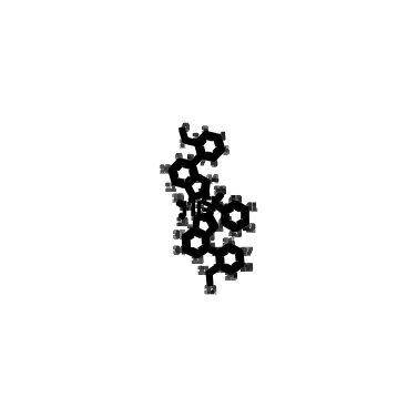 CCc1ccccc1-c1cccc2c1C=C1[CH]2[Hf]([CH3])([CH3])[CH]2C(=Cc3c(-c4ccccc4CC)cccc32)[Si]1(C)c1ccccc1